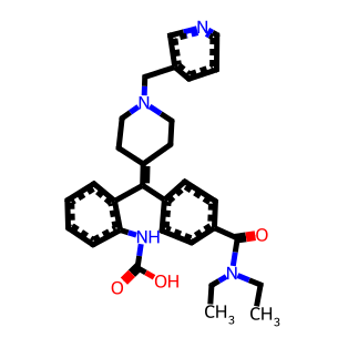 CCN(CC)C(=O)c1ccc(C(=C2CCN(Cc3cccnc3)CC2)c2ccccc2NC(=O)O)cc1